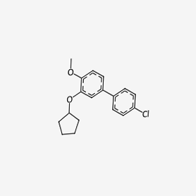 COc1ccc(-c2ccc(Cl)cc2)cc1OC1CCCC1